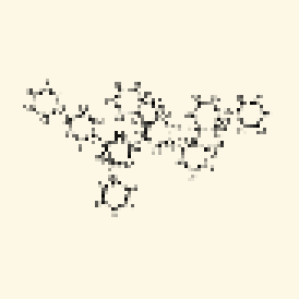 c1ccc(-c2ccc(-c3nc(-c4ccccc4)nc(-c4cc(-c5cccc6sc7c(-c8ccccc8)cccc7c56)cc5oc6ccccc6c45)n3)cc2)cc1